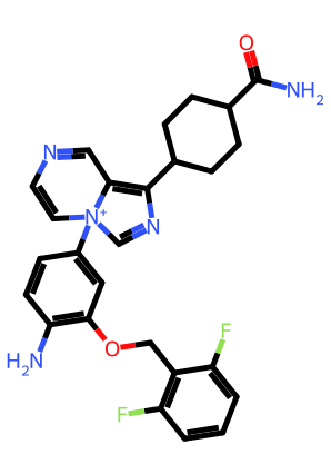 NC(=O)C1CCC(C2=C3C=NC=C[N+]3(c3ccc(N)c(OCc4c(F)cccc4F)c3)C=N2)CC1